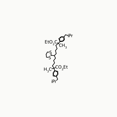 CCOC(=O)C(C)(CCCCC(CCCCC(C)(C(=O)OCC)c1ccc(CC(C)C)cc1)C1SCCCS1)c1ccc(CC(C)C)cc1